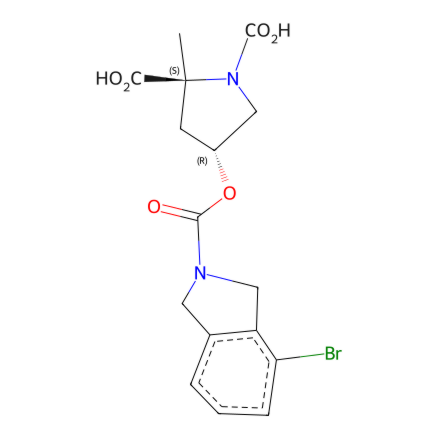 C[C@@]1(C(=O)O)C[C@@H](OC(=O)N2Cc3cccc(Br)c3C2)CN1C(=O)O